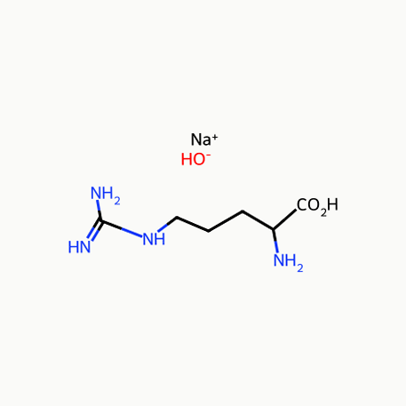 N=C(N)NCCCC(N)C(=O)O.[Na+].[OH-]